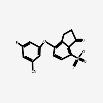 N#Cc1cc(F)cc(Oc2ccc(S(=O)(=O)Cl)c3c2CCC3=O)c1